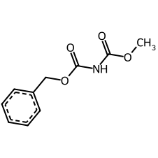 COC(=O)NC(=O)OCc1ccccc1